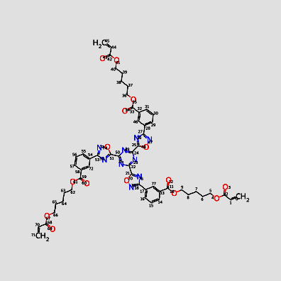 C=CC(=O)OCCCCCOC(=O)c1cccc(-c2noc(-c3nc(-c4nc(-c5cccc(C(=O)OCCCCCOC(=O)C=C)c5)no4)nc(-c4nc(-c5cccc(C(=O)OCCCCCOC(=O)C=C)c5)no4)n3)n2)c1